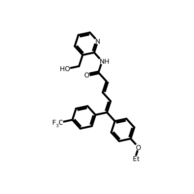 CCOc1ccc(C(=CC=CC(=O)Nc2ncccc2CO)c2ccc(C(F)(F)F)cc2)cc1